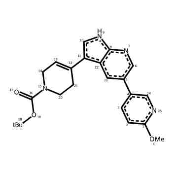 COc1ccc(-c2cnc3[nH]cc(C4=CCN(C(=O)OC(C)(C)C)CC4)c3c2)cn1